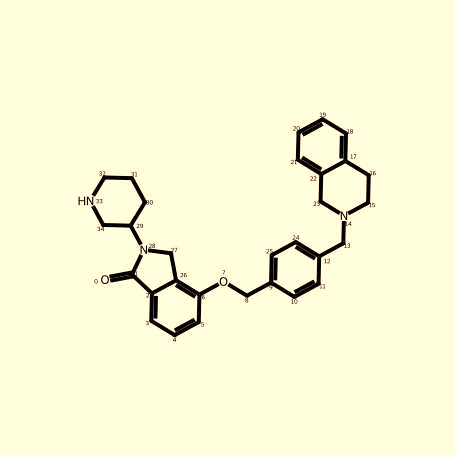 O=C1c2cccc(OCc3ccc(CN4CCc5ccccc5C4)cc3)c2CN1C1CCCNC1